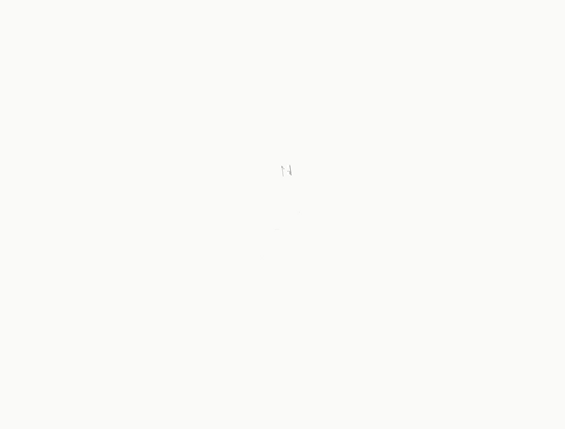 C=C(C)C[Si](CC)(CC)CN1CCCC1